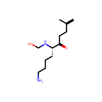 C=C(C)CCC(=O)[C@H](CCCCN)NCO